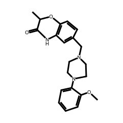 COc1ccccc1N1CCN(Cc2ccc3c(c2)NC(=O)C(C)O3)CC1